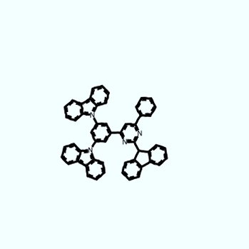 c1ccc(-c2cc(-c3cc(-n4c5ccccc5c5ccccc54)cc(-n4c5ccccc5c5ccccc54)c3)nc(C3c4ccccc4-c4ccccc43)n2)cc1